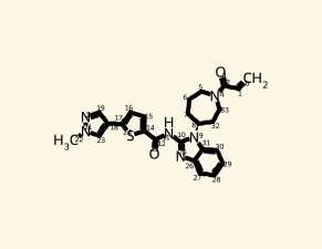 C=CC(=O)N1CCC[C@@H](n2c(NC(=O)c3ccc(-c4cnn(C)c4)s3)nc3ccccc32)CC1